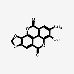 Cc1cc2c(=O)oc3c4c(cc5c(=O)oc(c1O)c2c35)OCO4